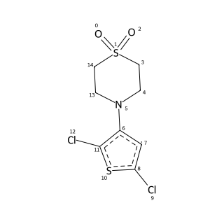 O=S1(=O)CCN(c2[c]c(Cl)sc2Cl)CC1